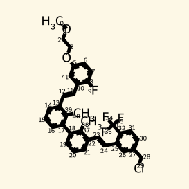 COCCOc1ccc(F)c(/C=C/c2cccc(-c3cccc(/C=C/c4cc(CCl)ccc4C(F)(F)F)c3C)c2C)c1